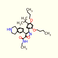 CCCCOc1cc(OCCCC)c(C(C)C)cc1-c1noc(C(=O)NCC)c1-c1ccc2c(c1)CCNCC2